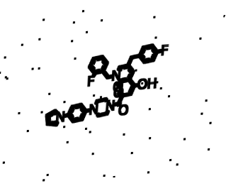 O=C(/C=C(/O)c1cc(Cc2ccc(F)cc2)cn(Cc2ccccc2F)c1=O)C(=O)N1CCN(c2ccc(-n3cccc3)cc2)CC1